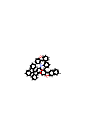 c1ccc(N(c2ccc3c(c2)C2(c4ccccc4-c4ccccc42)c2ccccc2-3)c2cccc3oc4ccccc4c23)c(-c2cccc3oc4cc5ccccc5cc4c23)c1